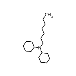 CCCCCCCN(C1CCCCC1)C1CCCCC1